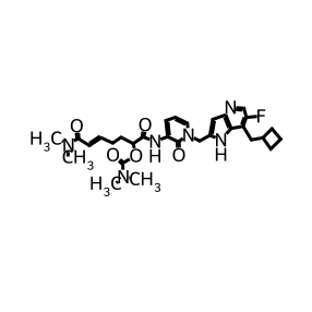 CN(C)C(=O)C=CCCC(OC(=O)N(C)C)C(=O)Nc1cccn(Cc2cc3ncc(F)c(CC4CCC4)c3[nH]2)c1=O